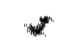 CCC(=O)NCCC(=O)C(C)(CC)NCC(=O)C(C)(CC)NC(COC(=O)NCCC(=O)NCCC[C@@]1(c2ccccc2)SC(c2cc(F)ccc2F)=NN1C(=O)N(C)OC)C(=O)NC(C)C